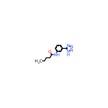 CCCCC(=O)Nc1cccc(-c2nnn[nH]2)c1